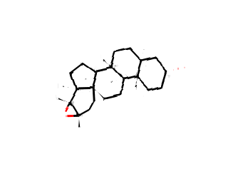 C[C@]12CC[C@@H](O)C[C@@H]1CC[C@@H]1[C@@H]2CC[C@@]23CC[C@@H]4O[C@@H]4[C@H]2CC[C@@H]13